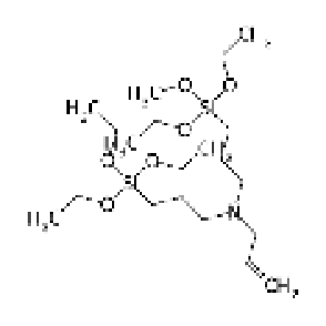 C=CCN(CCC[Si](OC)(OCC)OCC)CCC[Si](OCC)(OCC)OCC